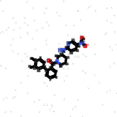 Cc1ccc(-c2ccccc2C(=O)N2CCC[C@@H](Nc3ccc([N+](=O)[O-])cn3)C2)cc1C